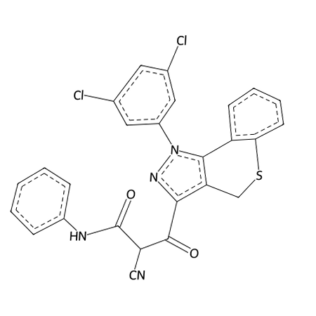 N#CC(C(=O)Nc1ccccc1)C(=O)c1nn(-c2cc(Cl)cc(Cl)c2)c2c1CSc1ccccc1-2